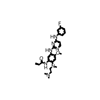 C=CC(=O)Nc1cc(Nc2nccc(Nc3cccc(F)c3)n2)c(OC)cc1N(C)CCN(C)C